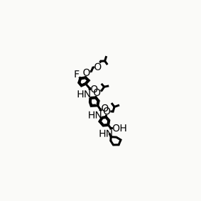 CC(C)COCCOc1cc(C(=O)Nc2ccc(C(=O)Nc3ccc(C(O)NC4CCCCC4)cc3OCC(C)C)cc2OCC(C)C)ccc1F